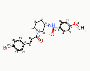 COc1ccc(C(=O)NC2CCCN(C(=O)C=Cc3ccc(Br)cc3)C2)cc1